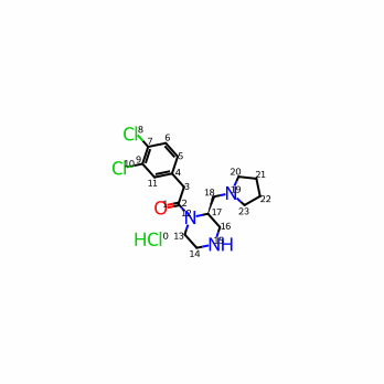 Cl.O=C(Cc1ccc(Cl)c(Cl)c1)N1CCNC[C@@H]1CN1CCCC1